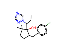 CCC(n1cncn1)C1(O)C(Cc2ccc(Cl)cc2)CCC1(C)C